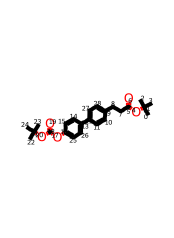 CC(C)(C)OC(=O)CCc1ccc(-c2ccc(OC(=O)OC(C)(C)C)cc2)cc1